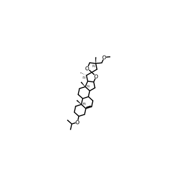 COC[C@@]1(C)COC2(C1)OC1CC3C4CC=C5CC(OC(C)C)CC[C@]5(C)C4CC[C@]3(C)C1[C@@H]2C